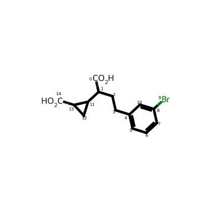 O=C(O)C(CCc1cccc(Br)c1)C1CC1C(=O)O